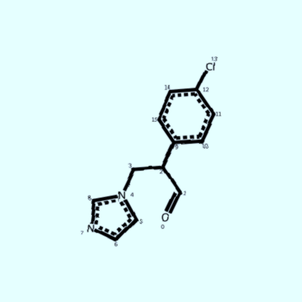 O=CC(Cn1ccnc1)c1ccc(Cl)cc1